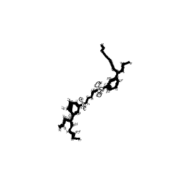 CCCCCC(CCC)c1cccc(S(=O)(=O)CCCCS(=O)(=O)c2cccc(C(CCC)CCCCC)c2)c1